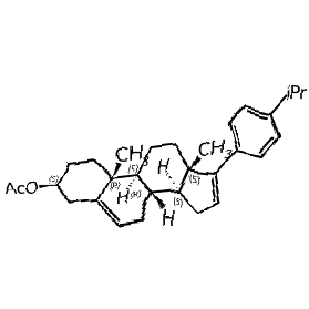 CC(=O)O[C@H]1CC[C@@]2(C)C(=CC[C@@H]3[C@@H]2CC[C@]2(C)C(c4ccc(C(C)C)cc4)=CC[C@@H]32)C1